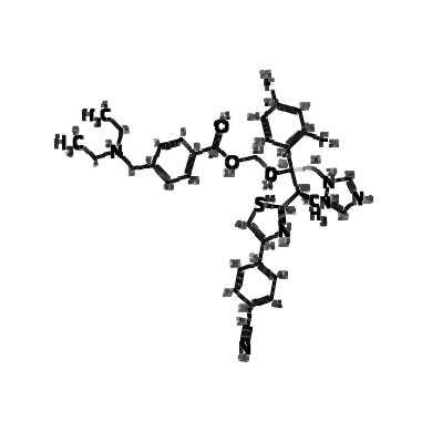 CCN(CC)Cc1ccc(C(=O)OCO[C@@](Cn2cncn2)(c2ccc(F)cc2F)[C@@H](C)c2nc(-c3ccc(C#N)cc3)cs2)cc1